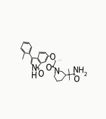 Cc1ccccc1-c1c[nH]c(=O)c2cc(O[C@H](C)C(=O)N3CCC[C@H](C(C)(C)C(N)=O)C3)ccc12